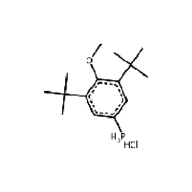 COc1c(C(C)(C)C)cc(P)cc1C(C)(C)C.Cl